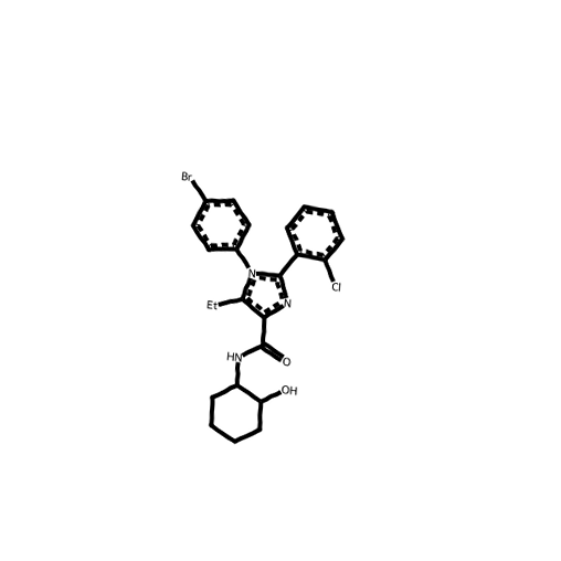 CCc1c(C(=O)NC2CCCCC2O)nc(-c2ccccc2Cl)n1-c1ccc(Br)cc1